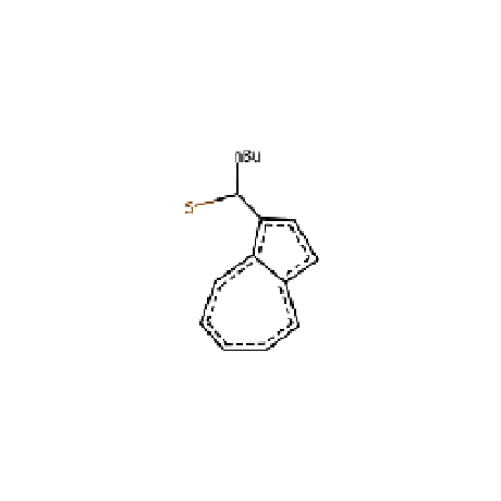 CCCCC([S])c1ccc2cccccc1-2